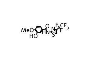 COc1ccc(C(=O)Nc2nc(C(F)(F)C(F)(F)F)cs2)cc1O